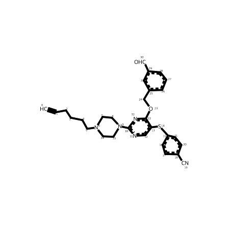 C#CCCCCN1CCN(c2ncc(Sc3ccc(C#N)cc3)c(OCc3cccc(C=O)c3)n2)CC1